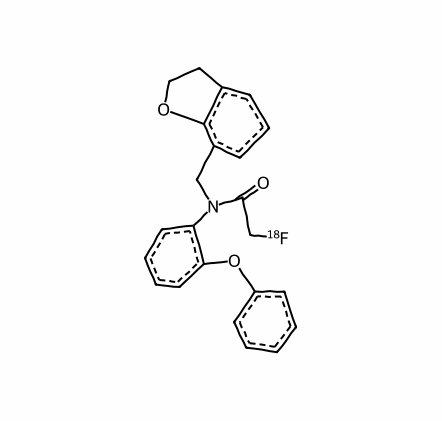 O=C(C[18F])N(Cc1cccc2c1OCC2)c1ccccc1Oc1ccccc1